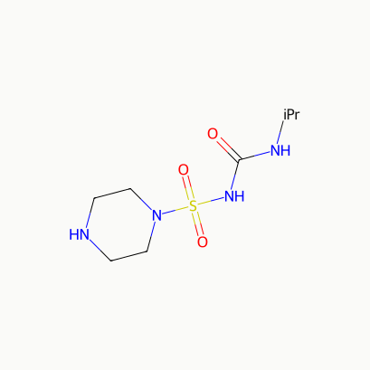 CC(C)NC(=O)NS(=O)(=O)N1CCNCC1